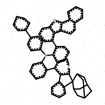 c1ccc(-c2ccc(N(c3ccccc3-c3cccc4c3-c3ccccc3C43C4CC5CC(C4)CC3C5)c3ccccc3-c3cccc4oc5c6ccccc6ccc5c34)cc2)cc1